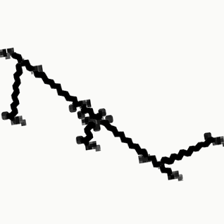 NCCN(C=CCCCCCCCCC(N)=O)CCNC=CCCCCCCCCC(=O)NC(=O)CC(NC(=O)CCC(N)=O)C(=O)NC(=O)CCCCCCCCC=CNCCN(C=CCCCCCCCCC(N)=O)CCN